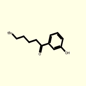 CC(C)(C)CCCCC(=O)c1cccc(O)c1